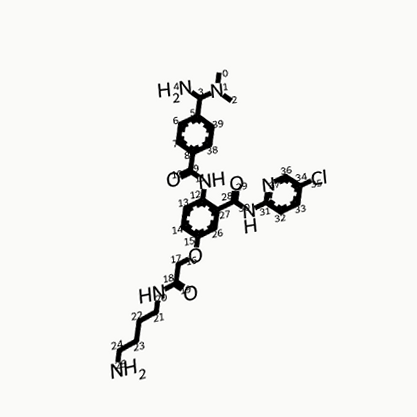 CN(C)C(N)c1ccc(C(=O)Nc2ccc(OCC(=O)NCCCCN)cc2C(=O)Nc2ccc(Cl)cn2)cc1